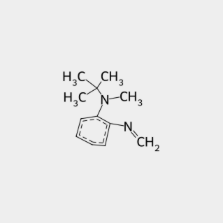 C=Nc1ccccc1N(C)C(C)(C)C